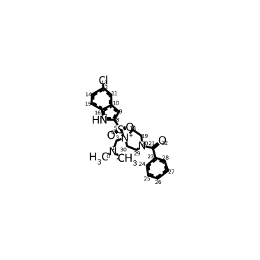 CN(C)C[N+]1(S(=O)(=O)c2cc3cc(Cl)ccc3[nH]2)CCN(C(=O)c2ccccc2)CC1